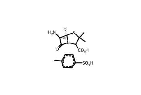 CC1(C)S[C@@H]2C(N)C(=O)N2C1C(=O)O.Cc1ccc(S(=O)(=O)O)cc1